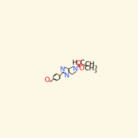 CC(C)(C)OC(=O)N1CCc2nc(-c3ccc(C=O)cc3)ncc2C1